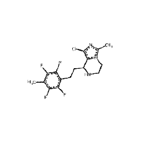 Cc1c(F)c(F)c(CCC2NCCn3c(C)nc(Cl)c32)c(F)c1F